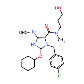 CN(CCCO)C(=O)C1=C(NC=O)NC(OC2CCCCC2)N1Cc1ccc(Cl)cc1